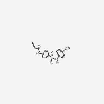 C=CC(=O)Nc1ccc(S(=O)(=O)Nc2ccc(C#N)cc2)cc1